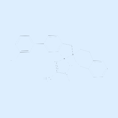 CN1OC2(N=C1N)c1cc(-c3cccc(C(F)(F)F)c3)ccc1CC21CCc2ccccc2CC1